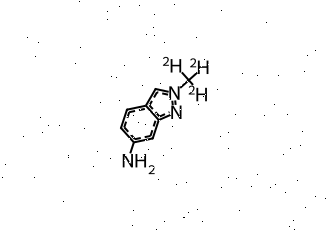 [2H]C([2H])([2H])n1cc2ccc(N)cc2n1